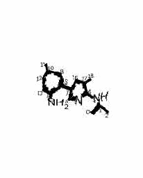 C=C(C)Nc1ncc(-c2cc(C)ccc2N)cc1C